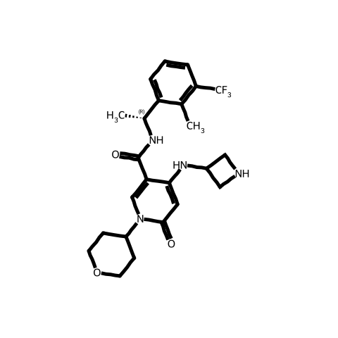 Cc1c([C@@H](C)NC(=O)c2cn(C3CCOCC3)c(=O)cc2NC2CNC2)cccc1C(F)(F)F